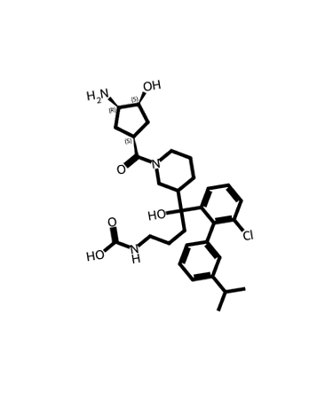 CC(C)c1cccc(-c2c(Cl)cccc2C(O)(CCCNC(=O)O)C2CCCN(C(=O)[C@H]3C[C@@H](N)[C@@H](O)C3)C2)c1